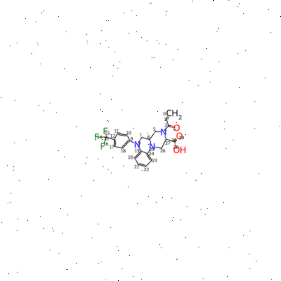 C=CC(=O)N1CC2CN(c3ccc(C(F)(F)F)cc3)c3ccccc3N2CC1C(=O)O